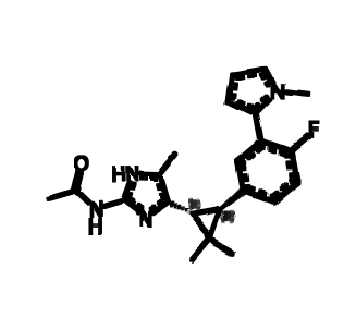 CC(=O)Nc1nc([C@@H]2[C@@H](c3ccc(F)c(-c4cccn4C)c3)C2(C)C)c(C)[nH]1